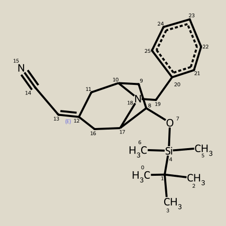 CC(C)(C)[Si](C)(C)OC1CC2C/C(=C\C#N)CC1N2Cc1ccccc1